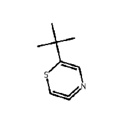 CC(C)(C)C1=CN=C=CS1